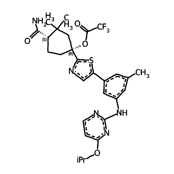 Cc1cc(Nc2nccc(OC(C)C)n2)cc(-c2cnc([C@@]3(OC(=O)C(F)(F)F)CC[C@H](C(N)=O)C(C)(C)C3)s2)c1